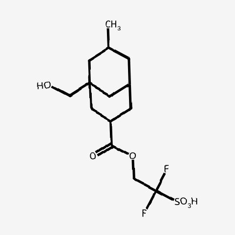 CC1CC2CC(C(=O)OCC(F)(F)S(=O)(=O)O)CC(CO)(C1)C2